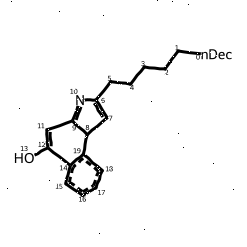 CCCCCCCCCCCCCCCC1=CC2C(=N1)C=C(O)c1ccccc12